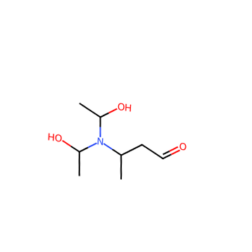 CC(O)N(C(C)O)C(C)CC=O